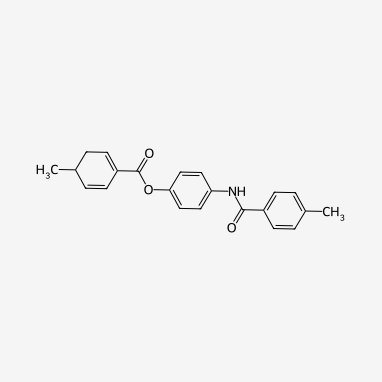 Cc1ccc(C(=O)Nc2ccc(OC(=O)C3=CCC(C)C=C3)cc2)cc1